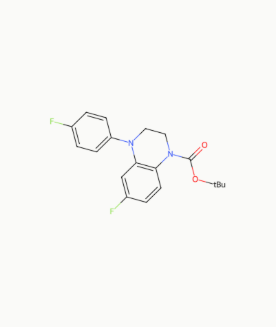 CC(C)(C)OC(=O)N1CCN(c2ccc(F)cc2)c2cc(F)ccc21